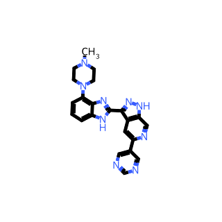 CN1CCN(c2cccc3[nH]c(-c4n[nH]c5cnc(-c6cncnc6)cc45)nc23)CC1